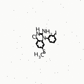 CSc1ccc(Cl)c(N(C(=N)N)c2cccc(I)c2)c1